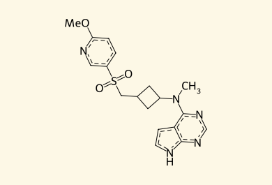 COc1ccc(S(=O)(=O)CC2CC(N(C)c3ncnc4[nH]ccc34)C2)cn1